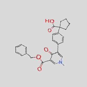 Cn1cc(C(=O)OCc2ccccc2)c(=O)c(-c2ccc(C3(C(=O)O)CCCC3)cc2)c1